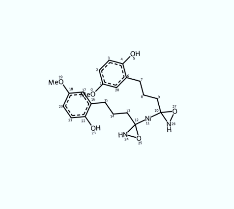 COc1ccc(O)c(CCC[C]2([Ni][C]3(CCCc4cc(OC)ccc4O)NO3)NO2)c1